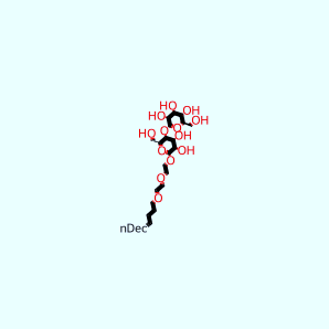 CCCCCCCCCCCCCCOCCOCCO[C@H]1O[C@H](CO)[C@@H](O[C@@H]2O[C@H](CO)[C@H](O)[C@H](O)[C@H]2O)[C@H](O)[C@H]1O